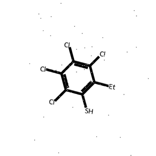 CCc1c(S)c(Cl)c(Cl)c(Cl)c1Cl